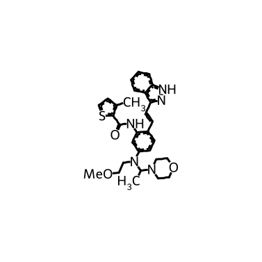 COCCN(c1ccc(C=Cc2n[nH]c3ccccc23)c(NC(=O)c2sccc2C)c1)C(C)N1CCOCC1